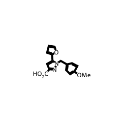 COc1ccc(Cn2nc(C(=O)O)cc2-c2ccco2)cc1